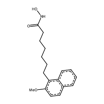 COc1ccc2ccccc2c1CCCCCCC(=O)NO